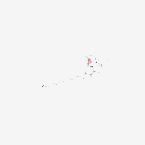 C=C(Cl)COCCCCCCS[C@@H]1O[C@@H]2O[C@]3(C)CC[C@H]4[C@H](C)CC[C@@H]([C@H]1C)[C@@]24OO3